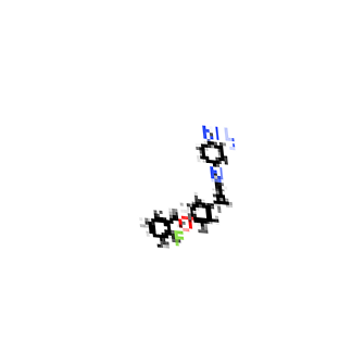 N[C@H]1CC[C@H]([N+]#CC2C[C@@H]2c2ccc(OCc3ccccc3F)cc2)CC1